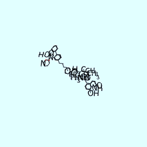 CC(C)(C)[Si](C)(C)O[C@@H](CNCc1cccc(OCCCCc2ccc(-c3ccccc3)c(N(C(=O)O)C3CN4CCC3CC4)c2)c1)c1ccc(O)c2[nH]c(=O)ccc12